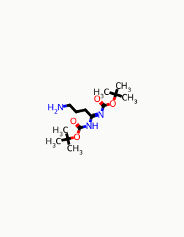 CC(C)(C)OC(=O)/N=C(\CCCN)NC(=O)OC(C)(C)C